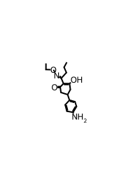 CCCC(=NOCC)C1=C(O)CC(c2ccc(N)cc2)CC1=O